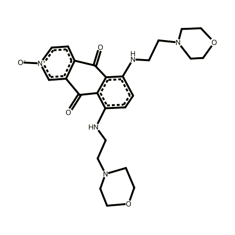 O=C1c2cc[n+]([O-])cc2C(=O)c2c(NCCN3CCOCC3)ccc(NCCN3CCOCC3)c21